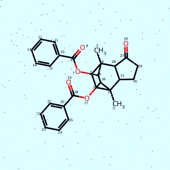 CC12CCC(C)(C(OC(=O)c3ccccc3)C1OC(=O)c1ccccc1)C1C(=O)CCC12